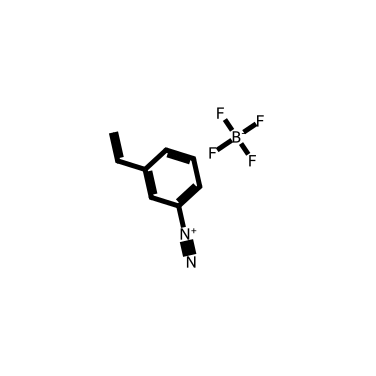 C=Cc1cccc([N+]#N)c1.F[B-](F)(F)F